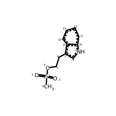 CS(=O)(=O)OCCc1c[nH]c2ccccc12